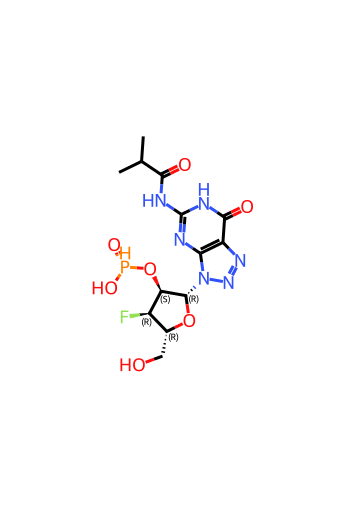 CC(C)C(=O)Nc1nc2c(nnn2[C@@H]2O[C@H](CO)[C@@H](F)[C@H]2O[PH](=O)O)c(=O)[nH]1